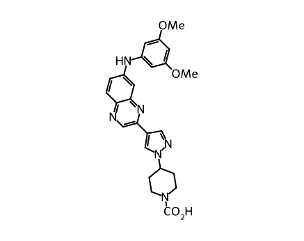 COc1cc(Nc2ccc3ncc(-c4cnn(C5CCN(C(=O)O)CC5)c4)nc3c2)cc(OC)c1